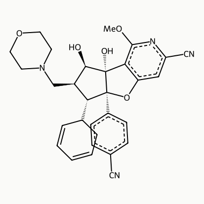 COc1nc(C#N)cc2c1[C@]1(O)[C@H](O)[C@H](CN3CCOCC3)[C@@H](C3C=CC=CC3)[C@]1(c1ccc(C#N)cc1)O2